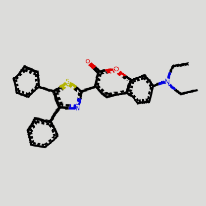 CCN(CC)c1ccc2cc(-c3nc(-c4ccccc4)c(-c4ccccc4)s3)c(=O)oc2c1